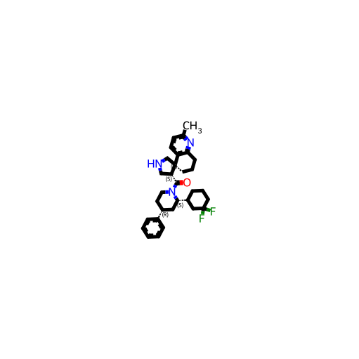 Cc1ccc2c(n1)CCC[C@]21CNC[C@H]1C(=O)N1CC[C@@H](c2ccccc2)C[C@H]1C1CCCC(F)(F)C1